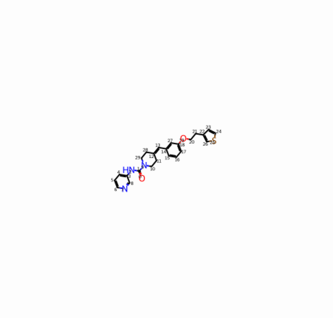 O=C(Nc1cccnc1)N1CCC(=Cc2cccc(OCCc3ccsc3)c2)CC1